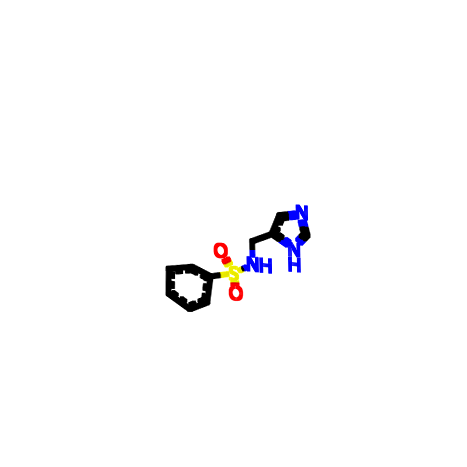 O=S(=O)(NCc1cnc[nH]1)c1ccccc1